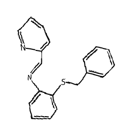 C(=Nc1ccccc1SCc1ccccc1)c1ccccn1